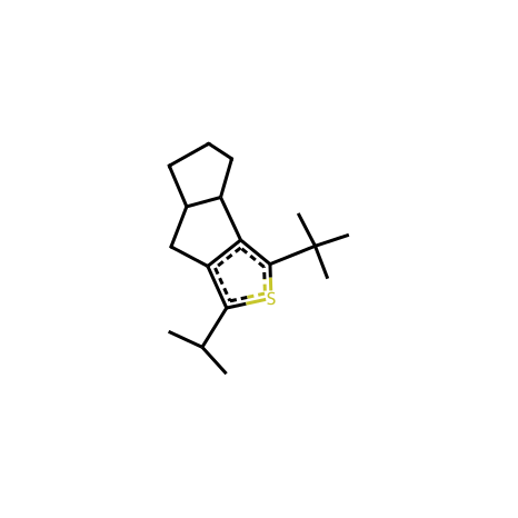 CC(C)c1sc(C(C)(C)C)c2c1CC1CCCC21